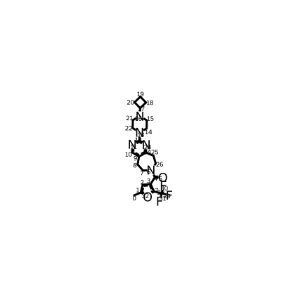 Cc1cc(C(=O)N2CCc3cnc(N4CCN(C5CCC5)CC4)nc3CC2)c(C(F)(F)F)o1